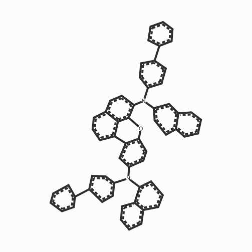 c1ccc(-c2ccc(N(c3ccc4ccccc4c3)c3ccc4cccc5c4c3Oc3ccc(N(c4ccc(-c6ccccc6)cc4)c4cccc6ccccc46)cc3-5)cc2)cc1